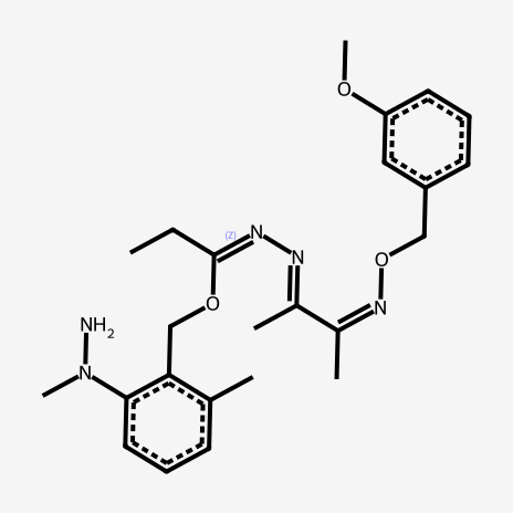 CC/C(=N/N=C(C)C(C)=NOCc1cccc(OC)c1)OCc1c(C)cccc1N(C)N